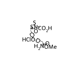 COC(=O)[C@H](N)Cc1ccc(Oc2ccc(C[C@@H]3SC(=S)N(CC(=O)O)C3=O)cc2)cc1.Cl